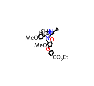 CCOC(=O)c1ccc(Oc2cccc(CN(Cc3ccc(OC)cc3C)C(=O)c3cc(C4CC4)nn3C)c2OC)cc1